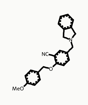 COc1ccc(COc2ccc(CN3Cc4ccccc4C3)cc2C#N)cc1